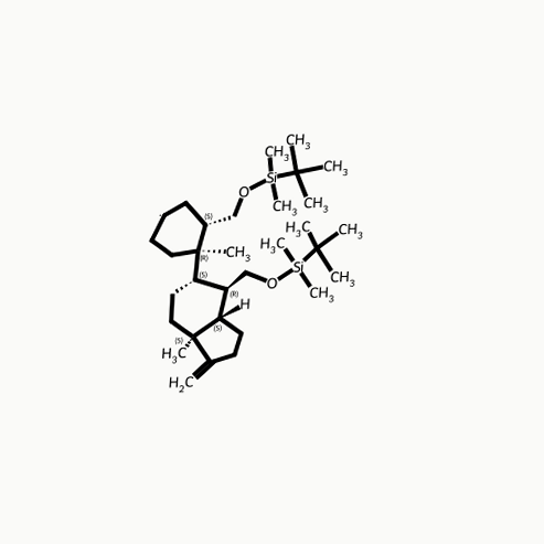 C=C1CC[C@H]2[C@H](CO[Si](C)(C)C(C)(C)C)[C@@H]([C@@]3(C)CC[CH]C[C@@H]3CO[Si](C)(C)C(C)(C)C)CC[C@]12C